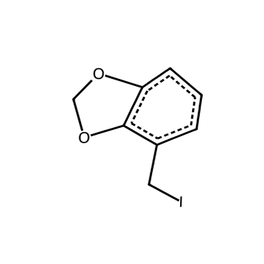 ICc1cccc2c1OCO2